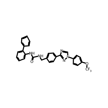 O=C(NCc1ccc(-c2ncn(-c3ccc(OC(F)(F)F)cc3)n2)cc1)Nc1ccccc1-c1ccccc1